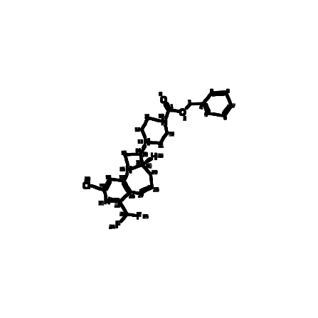 O=C(OCc1ccccc1)N1CCN([C@@H]2CN3c4cc(Cl)nc(C(F)F)c4C=CC[C@@H]23)CC1